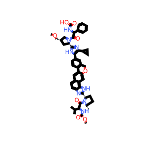 COC[C@H]1C[C@@H](c2nc(C3CC3)c(-c3ccc4c(c3)COc3cc5c(ccc6nc([C@@H]7CC[C@H](C)N7C(=O)C(NC(=O)OC)C(C)C)[nH]c65)cc3-4)[nH]2)N(C(=O)C(NC(=O)O)c2ccccc2)C1